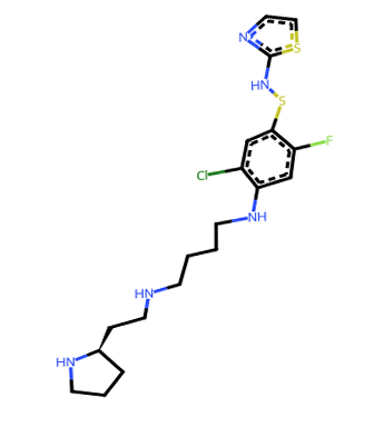 Fc1cc(NCCCCNCC[C@H]2CCCN2)c(Cl)cc1SNc1nccs1